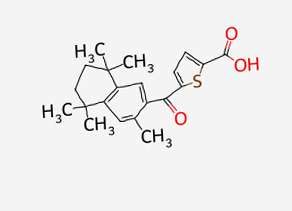 Cc1cc2c(cc1C(=O)c1ccc(C(=O)O)s1)C(C)(C)CCC2(C)C